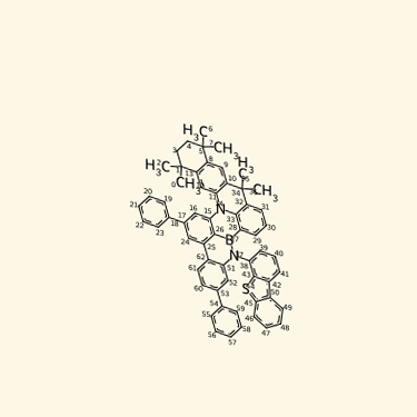 CC1(C)CCC(C)(C)c2cc3c(cc21)N1c2cc(-c4ccccc4)cc4c2B(c2cccc(c21)C3(C)C)N(c1cccc2c1sc1ccccc12)c1cc(-c2ccccc2)ccc1-4